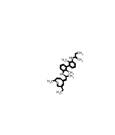 C=C(CC)Nc1cccc(-c2cccc(NC(C)/C=C3\C=C/C(C)/N=C/C(CC)=C\3)c2C)c1C